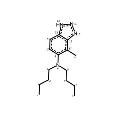 CCCCN(CCCC)c1ccc2[nH]nnc2c1C